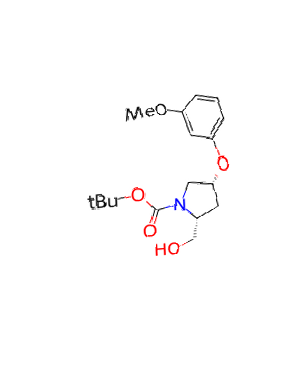 COc1cccc(O[C@@H]2C[C@H](CO)N(C(=O)OC(C)(C)C)C2)c1